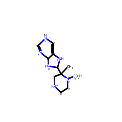 CC1(C2NC3=CNC=NC3N2)CNCCN1C(=O)O